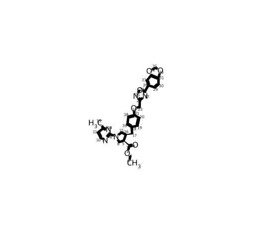 CCOC(=O)[C@H]1CN(c2nccc(C)n2)C[C@H]1Cc1ccc(OCc2noc(-c3ccc4c(c3)OCO4)n2)cc1